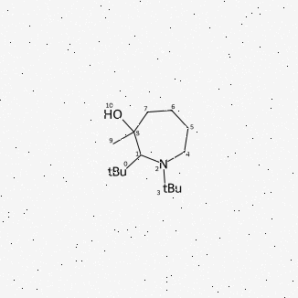 CC(C)(C)C1N(C(C)(C)C)CCCCC1(C)O